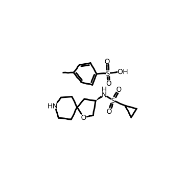 Cc1ccc(S(=O)(=O)O)cc1.O=S(=O)(N[C@H]1COC2(CCNCC2)C1)C1CC1